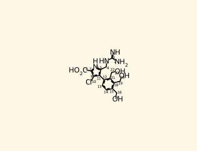 N=C(N)NCc1[nH]c(C(=O)O)c(Cl)c1-c1ccc(CO)c(CO)c1CO